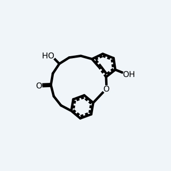 O=C1CCc2ccc(cc2)Oc2cc(ccc2O)CCC(O)C1